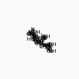 Cc1cc(N=Nc2c(S(=O)(=O)O)cc3c(S(=O)(=O)O)c(N=Nc4c(C)c(C#N)c5nc6ccccc6n5c4O)ccc3c2O)c(OCCCS(=O)(=O)O)cc1N=Nc1nc2c(S(=O)(=O)O)cc(C(=O)OS)cc2s1